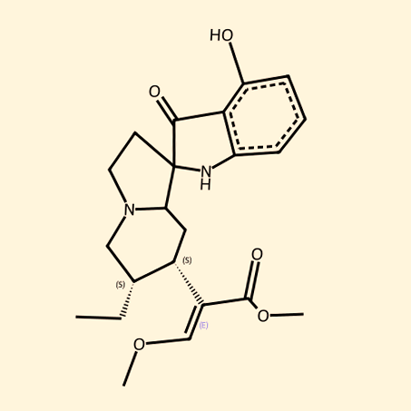 CC[C@@H]1CN2CCC3(Nc4cccc(O)c4C3=O)C2C[C@@H]1/C(=C\OC)C(=O)OC